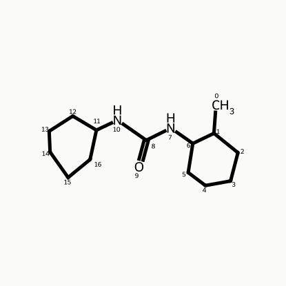 CC1CCCCC1NC(=O)NC1CCCCC1